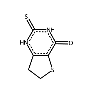 O=c1[nH]c(=S)[nH]c2c1SCC2